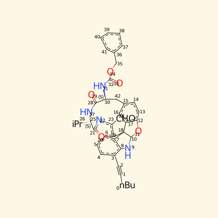 CCCCC#Cc1cccc2c1NC1Oc3ccc4cc3C21c1oc(nc1C=O)[C@H](C(C)C)NC(=O)[C@@H](NC(=O)OCc1ccccc1)C4